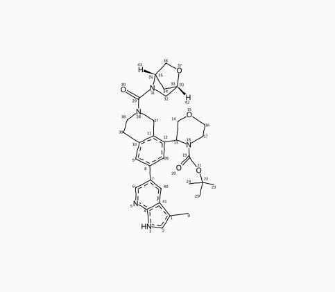 Cc1c[nH]c2ncc(-c3cc4c(c(C5COCCN5C(=O)OC(C)(C)C)c3)CN(C(=O)N3C[C@@H]5C[C@H]3CO5)CC4)cc12